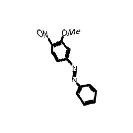 COc1cc(/N=N/c2ccccc2)ccc1N=O